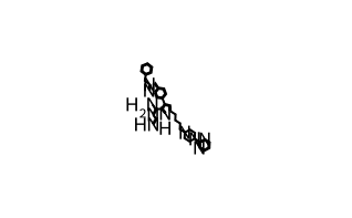 N=C/N=C(/N)c1[nH]c(CCCCN2CCN(c3ncccn3)CC2)cc1-c1ccc2cn(Cc3ccccc3)nc2c1